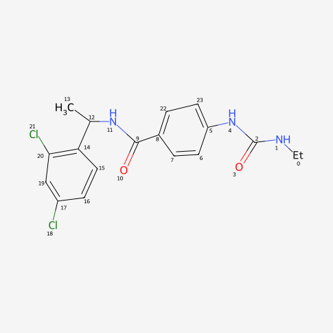 CCNC(=O)Nc1ccc(C(=O)NC(C)c2ccc(Cl)cc2Cl)cc1